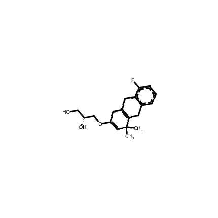 CC1(C)C=C(OC[C@H](O)CO)CC2=C1Cc1cccc(F)c1C2